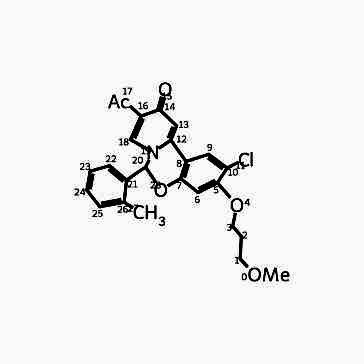 COCCCOc1cc2c(cc1Cl)-c1cc(=O)c(C(C)=O)cn1C(c1ccccc1C)O2